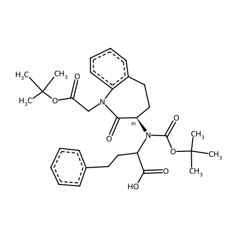 CC(C)(C)OC(=O)CN1C(=O)[C@H](N(C(=O)OC(C)(C)C)C(CCc2ccccc2)C(=O)O)CCc2ccccc21